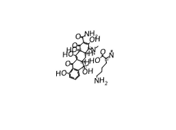 C=N[C@@H](CCCCN)C(=O)O.CN(C)[C@@H]1C(O)=C(C(N)=O)C(=O)[C@@]2(O)C(O)=C3C(=O)c4c(O)cccc4[C@@](C)(O)[C@H]3C[C@@H]12